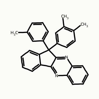 Cc1cccc(C2(c3ccc(C)c(C)c3)c3ccccc3-c3nc4ccccc4nc32)c1